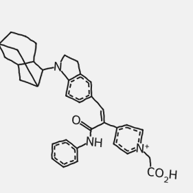 O=C(O)C[n+]1ccc(/C(=C/c2ccc3c(c2)CCN3C2C3CC4CCCC2C(C4)C3)C(=O)Nc2ccccc2)cc1